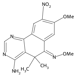 CO/N=C1\c2cc(OC)c([N+](=O)[O-])cc2-c2ncnc(N)c2C1(C)C